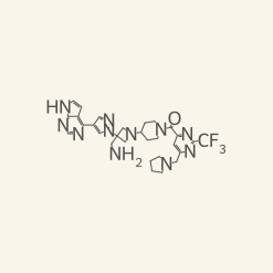 NCC1(n2cc(-c3ncnc4[nH]ccc34)cn2)CN(C2CCN(C(=O)c3cc(CN4CCCC4)nc(C(F)(F)F)n3)CC2)C1